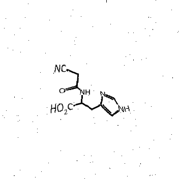 N#CCC(=O)NC(Cc1c[nH]cn1)C(=O)O